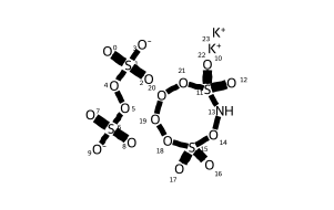 O=S(=O)([O-])OOS(=O)(=O)[O-].O=S1(=O)NOS(=O)(=O)OOOO1.[K+].[K+]